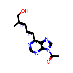 CC(=O)n1cnc2c(/C=C/C=C(\C)CO)ncnc21